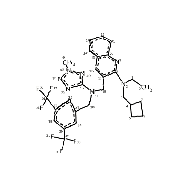 CCN(CC1CCC1)c1nc2ccccc2cc1CN(Cc1cc(C(F)(F)F)cc(C(F)(F)F)c1)c1nnn(C)n1